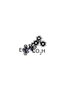 CCN1C(=O)S/C(=c2/s/c(=C/c3ccc4c(c3)C3CCCC3N4c3ccccc3)c(=O)n2CC(=O)O)C1=O